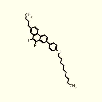 CCCCCCCCCCOc1ccc(-c2ccc3c(c2)c(F)c(F)c2cc(CCCC)ccc23)cc1